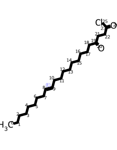 CCCCCCCC/C=C/CCCCCCCCCC(=O)CCC(=O)Cl